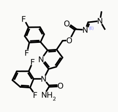 CN(C)/C=N/C(=O)OCc1ccc(N(C(N)=O)c2c(F)cccc2F)nc1-c1ccc(F)cc1F